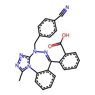 Cc1nnc2n1-c1ccccc1C(c1ccccc1C(=O)O)=NN2Cc1ccc(C#N)cc1